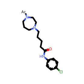 CC(=O)N1CCCN(CCCCC(=O)Nc2ccc(Cl)cc2)CC1